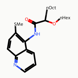 CCCCCCCCC(OCCCCCC)C(=O)Nc1c(SC)ccc2ncccc12